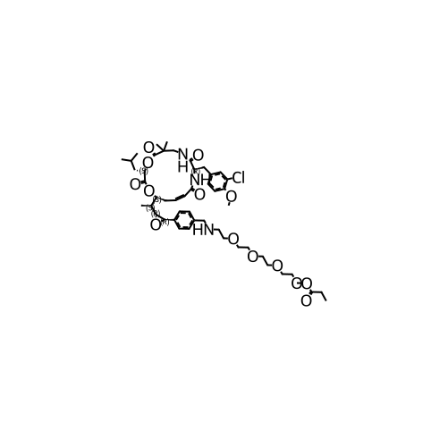 CCC(=O)OOCCOCCOCCOCCNCc1ccc([C@H]2O[C@@H]2[C@@H](C)[C@@H]2CC=CC(=O)N[C@H](Cc3ccc(OC)c(Cl)c3)C(=O)NCC(C)(C)C(=O)O[C@@H](CC(C)C)C(=O)O2)cc1